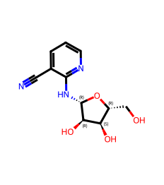 N#Cc1cccnc1N[C@@H]1O[C@H](CO)[C@@H](O)[C@H]1O